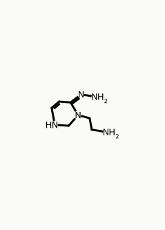 NCCN1CNC=CC1=NN